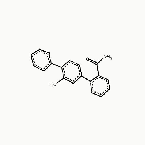 NC(=O)c1ccccc1-c1ccc(-c2ccccc2)c(C(F)(F)F)c1